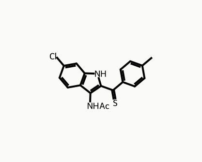 CC(=O)Nc1c(C(=S)c2ccc(C)cc2)[nH]c2cc(Cl)ccc12